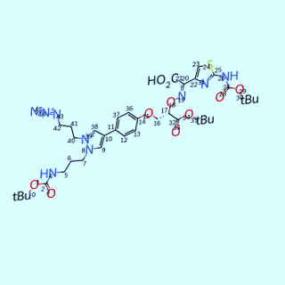 CC(C)(C)OC(=O)NCCCn1cc(-c2ccc(OC[C@H](O/N=C(\C(=O)O)c3csc(NC(=O)OC(C)(C)C)n3)C(=O)OC(C)(C)C)cc2)c[n+]1CCCN=[N+]=[N-]